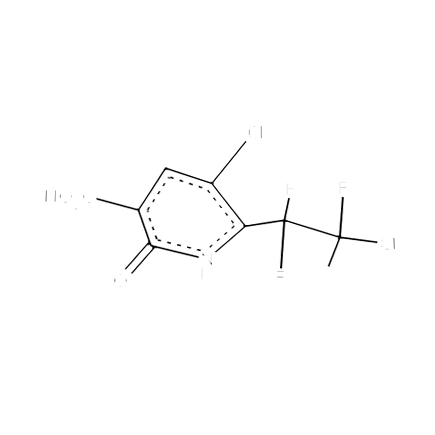 O=C(O)c1cc(Cl)c(C(F)(F)C(F)(F)C(F)(F)F)[nH]c1=O